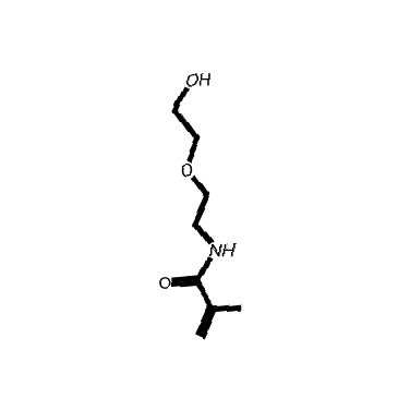 C=C(C)C(=O)NCCOCCO